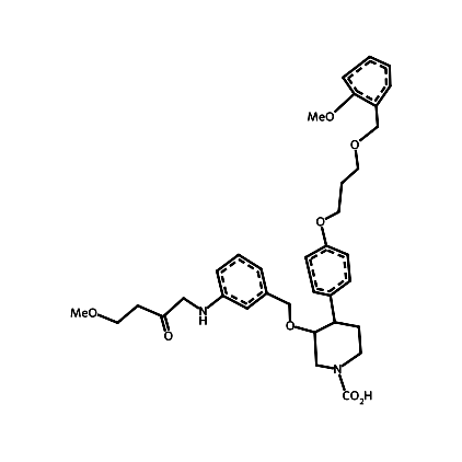 COCCC(=O)CNc1cccc(COC2CN(C(=O)O)CCC2c2ccc(OCCCOCc3ccccc3OC)cc2)c1